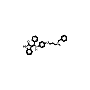 CN(CCCOc1ccc(NC(=C2C(=O)Nc3ccccc32)c2ccccc2)cc1)Cc1ccccc1